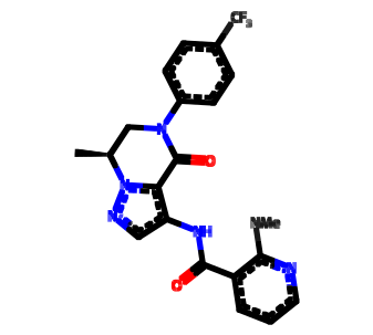 CNc1ncccc1C(=O)Nc1cnn2c1C(=O)N(c1ccc(C(F)(F)F)cc1)C[C@@H]2C